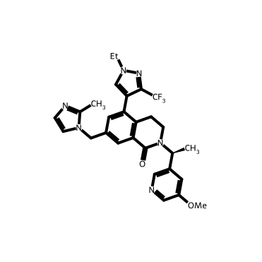 CCn1cc(-c2cc(Cn3ccnc3C)cc3c2CCN([C@@H](C)c2cncc(OC)c2)C3=O)c(C(F)(F)F)n1